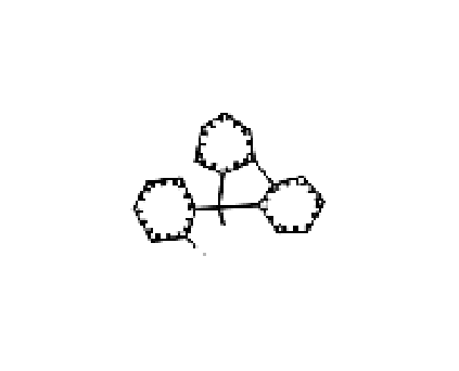 CC1(c2ccccc2Br)c2ccccc2-c2ccccc21